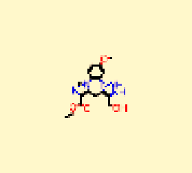 CCOC(=O)c1ncn2c1CC1=C(CO)NNN1c1cc(OC)ccc1-2